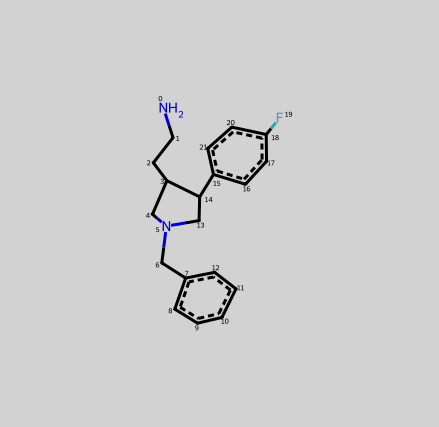 NCCC1CN(Cc2ccccc2)CC1c1ccc(F)cc1